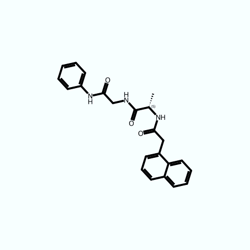 C[C@H](NC(=O)Cc1cccc2ccccc12)C(=O)NCC(=O)Nc1ccccc1